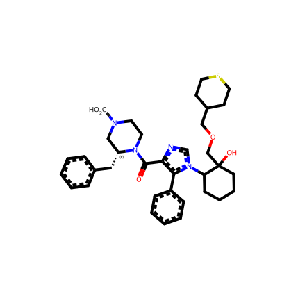 O=C(O)N1CCN(C(=O)c2ncn(C3CCCCC3(O)COCC3CCSCC3)c2-c2ccccc2)[C@H](Cc2ccccc2)C1